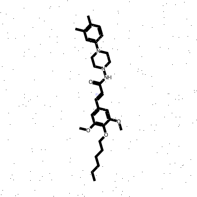 CCCCCCOc1c(OC)cc(/C=C/C(=O)NN2CCN(c3ccc(C)c(C)c3)CC2)cc1OC